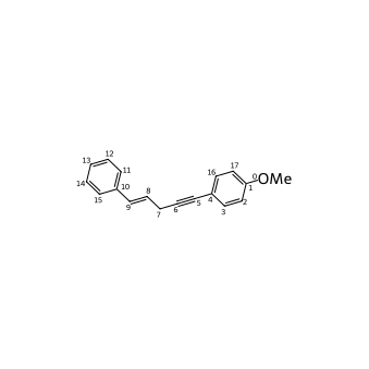 COc1ccc(C#CCC=Cc2ccccc2)cc1